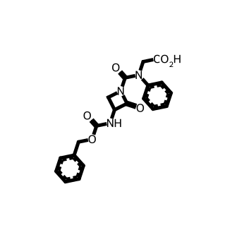 O=C(O)CN(C(=O)N1CC(NC(=O)OCc2ccccc2)C1=O)c1ccccc1